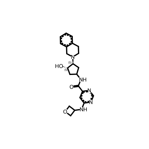 O=C(NC1C[C@H](O)[C@@H](N2CCc3ccccc3C2)C1)c1cc(NC2COC2)ncn1